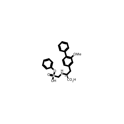 COc1cc(C[C@H](NCP(=O)(O)Oc2ccccc2)C(=O)O)ccc1-c1ccccc1